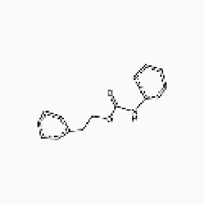 O=C(Nc1ccccc1)OCCc1ccccc1